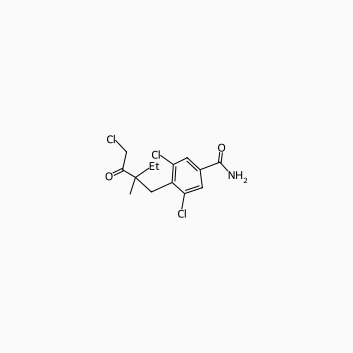 CCC(C)(Cc1c(Cl)cc(C(N)=O)cc1Cl)C(=O)CCl